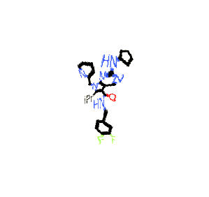 CC(C)c1c(C(=O)NCc2ccc(F)c(F)c2)c2cnc(NC3CCCC3)nc2n1Cc1ccccn1